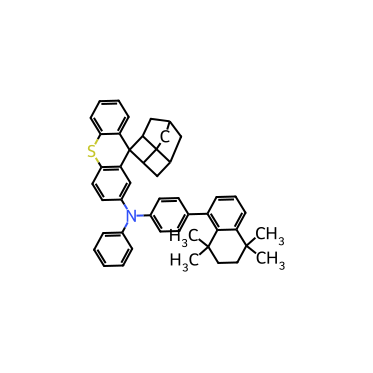 CC1(C)CCC(C)(C)c2c(-c3ccc(N(c4ccccc4)c4ccc5c(c4)C4(c6ccccc6S5)C5CC6CC7CC4C75C6)cc3)cccc21